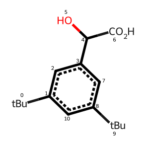 CC(C)(C)c1cc(C(O)C(=O)O)cc(C(C)(C)C)c1